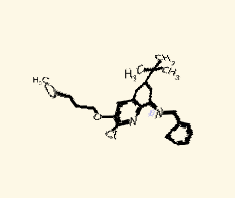 COCCCOc1cc2c(nc1Cl)/C(=N/Cc1ccccc1)CC(C(C)(C)C)C2